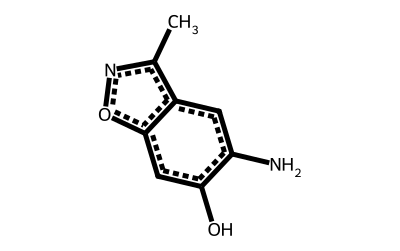 Cc1noc2cc(O)c(N)cc12